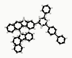 c1ccc(-c2ccc(-c3nc(-c4ccccc4)nc(-c4ccc5c(c4)oc4cc6ccccc6c(-n6c7ccccc7c7c8ccccc8ccc76)c45)n3)cc2)cc1